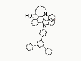 C=C1/C=C\C=C/CN(c2ccccc2)c2c1c1ccccc1c1c2c2ccccc2n1-c1ccc(-c2cc(-c3ccccc3)cc(-c3ccccc3)c2)cc1